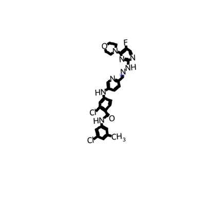 Cc1cc(Cl)cc(NC(=O)c2ccc(Nc3ccc(/C=N/Nc4ncc(F)c(N5CCOCC5)n4)nc3)cc2Cl)c1